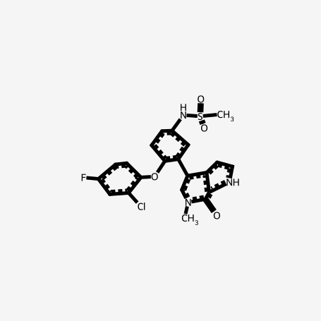 Cn1cc(-c2cc(NS(C)(=O)=O)ccc2Oc2ccc(F)cc2Cl)c2cc[nH]c2c1=O